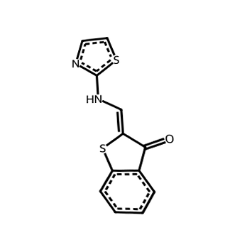 O=C1C(=CNc2nccs2)Sc2ccccc21